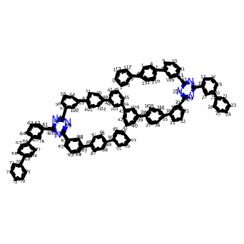 c1ccc(-c2ccc(-c3cccc(-c4nc(-c5cccc(-c6ccccc6)c5)nc(-c5cccc(-c6ccc(-c7cccc(-c8cccc(-c9ccc(-c%10cccc(-c%11nc(-c%12cccc(-c%13ccc(-c%14ccccc%14)cc%13)c%12)nc(-c%12cccc(-c%13ccc(-c%14ccccc%14)cc%13)c%12)n%11)c%10)cc9)c8)c7)cc6)c5)n4)c3)cc2)cc1